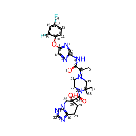 C[C@H](C(=O)Nc1cnc(Oc2ccc(F)cc2F)cn1)N1CCN(C(=O)[C@@]2(O)CCc3ncnn3C2)C(C)(C)C1